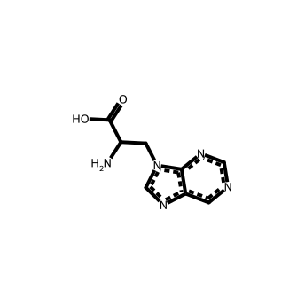 NC(Cn1cnc2cncnc21)C(=O)O